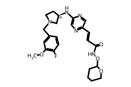 COc1cc(CN2CC[C@@H](Nc3cnc(C=CC(=O)NOC4CCCCO4)cn3)C2)ccc1F